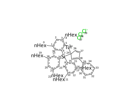 CCCCCCc1cc(CCCCCC)cc([Si](c2cc(CCCCCC)cc(CCCCCC)c2)(c2cc(CCCCCC)cc(CCCCCC)c2)[C]2([Ti+3])C=CC(c3ccccc3)=C2)c1.[Cl-].[Cl-].[Cl-]